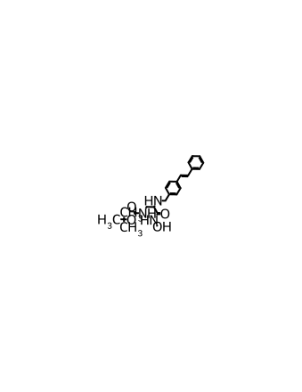 CC(C)(C)OC(=O)NCC(NCc1ccc(C=Cc2ccccc2)cc1)C(=O)NO